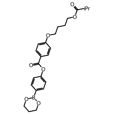 CC(C)C(=O)OCCCCOc1ccc(C(=O)Oc2ccc(B3OCCCO3)cc2)cc1